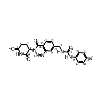 O=C1CCC(n2nnc3cc(CNC(=O)Nc4ccc(Cl)cc4)ccc3c2=O)C(=O)N1